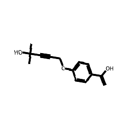 C=C(O)c1ccc(OCC#CC(C)(C)O)cc1